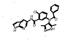 Cc1n[nH]c(C)c1N(C(=O)c1ccccc1)c1ccc(Cl)c(C(=O)Nc2cnc3[nH]ccc3c2)c1